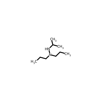 CCCN(CCC)NC(C)C